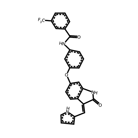 O=C1Nc2cc(Oc3cccc(NC(=O)c4cccc(C(F)(F)F)c4)c3)ccc2C1=Cc1ccc[nH]1